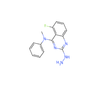 CN(c1ccccc1)c1nc(NN)nc2cccc(F)c12